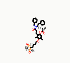 CCC(=O)Oc1cc(C)c(OCCCCC(P(=O)(CC)CC)P(=O)(CC)CC)c(C)c1CCC(=O)N(Cc1ccccc1)[C@@H](Cc1ccccc1)C(=O)O